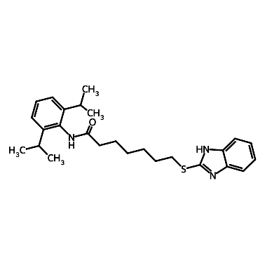 CC(C)c1cccc(C(C)C)c1NC(=O)CCCCCCSc1nc2ccccc2[nH]1